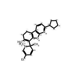 CCC1=CN(C)C(C)(C2=C(C)CCc3c2oc2nc(C4CCCC4)ccc32)C=C1